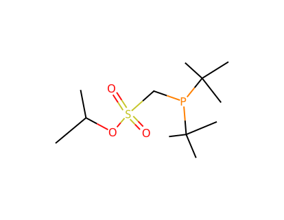 CC(C)OS(=O)(=O)CP(C(C)(C)C)C(C)(C)C